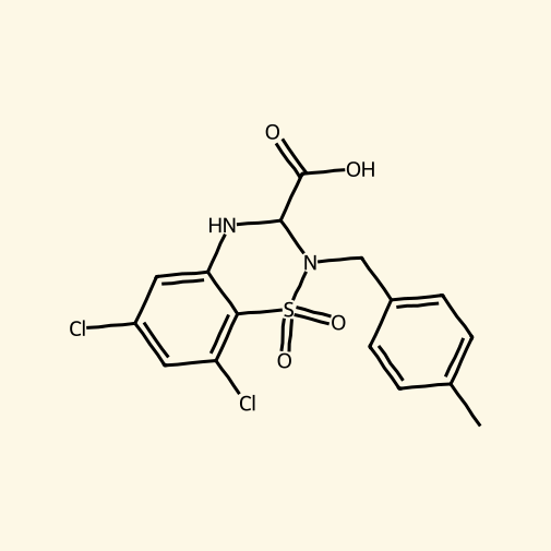 Cc1ccc(CN2C(C(=O)O)Nc3cc(Cl)cc(Cl)c3S2(=O)=O)cc1